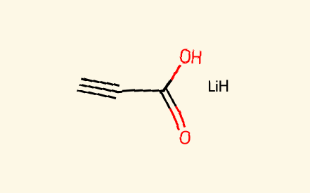 C#CC(=O)O.[LiH]